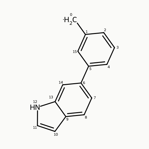 [CH2]c1cccc(-c2ccc3cc[nH]c3c2)c1